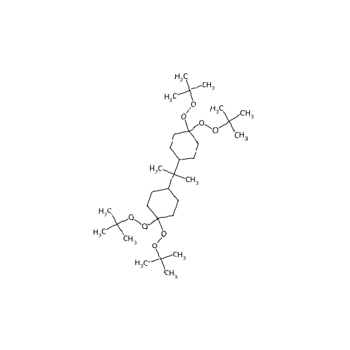 CC(C)(C)OOC1(OOC(C)(C)C)CCC(C(C)(C)C2CCC(OOC(C)(C)C)(OOC(C)(C)C)CC2)CC1